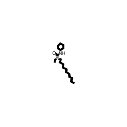 C/C=C/C=C/C=C/CCCCN(CC)C(=O)NC1CCCCC1